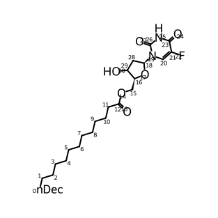 CCCCCCCCCCCCCCCCCCCCCC(=O)OC[C@@H]1O[C@H](n2cc(F)c(=O)[nH]c2=O)CC1O